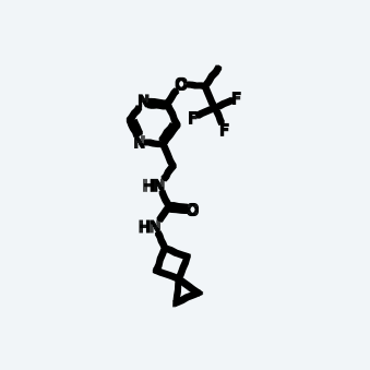 CC(Oc1cc(CNC(=O)NC2CC3(CC3)C2)ncn1)C(F)(F)F